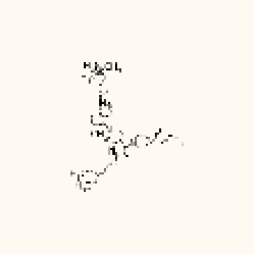 C=CC(=O)N1CCN(c2nc(OCCN(CC)CC)nc3c2CCN(c2c(C)ccc4c2cnn4COCC[Si](C)(C)C)C3)CC1